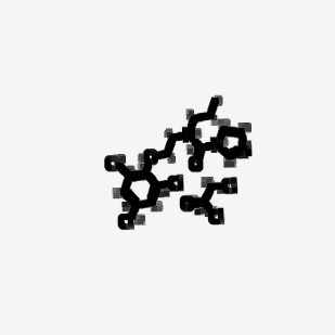 CCCN(CCOc1c(Cl)cc(Cl)cc1Cl)C(=O)n1ccnc1.O=C(Cl)CCl